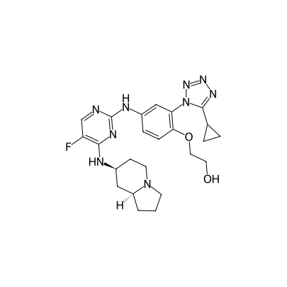 OCCOc1ccc(Nc2ncc(F)c(N[C@H]3CCN4CCC[C@H]4C3)n2)cc1-n1nnnc1C1CC1